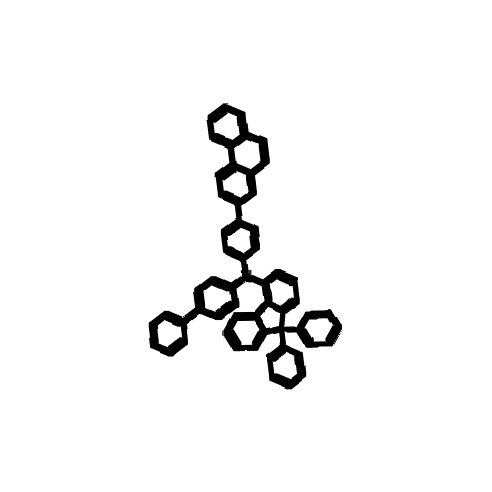 c1ccc(-c2ccc(N(c3ccc(-c4ccc5c(ccc6ccccc65)c4)cc3)c3cccc4c3-c3ccccc3C4(c3ccccc3)c3ccccc3)cc2)cc1